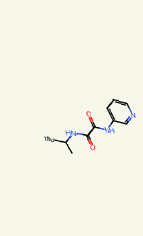 CC(NC(=O)C(=O)Nc1cccnc1)C(C)(C)C